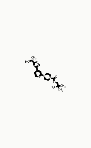 C[C@@H](O)c1nc(-c2ccnc(N3CCN(C(=O)OCC(C)(C)C)CC3)c2)no1